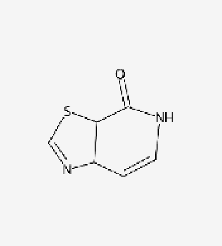 O=C1NC=CC2N=CSC12